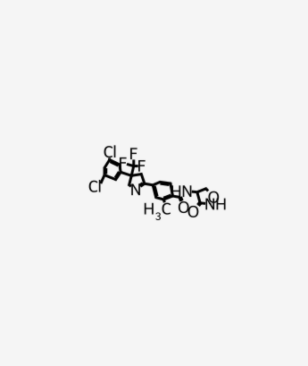 Cc1cc(C2=NCC(c3cc(Cl)cc(Cl)c3)(C(F)(F)F)C2)ccc1C(=O)NC1CONC1=O